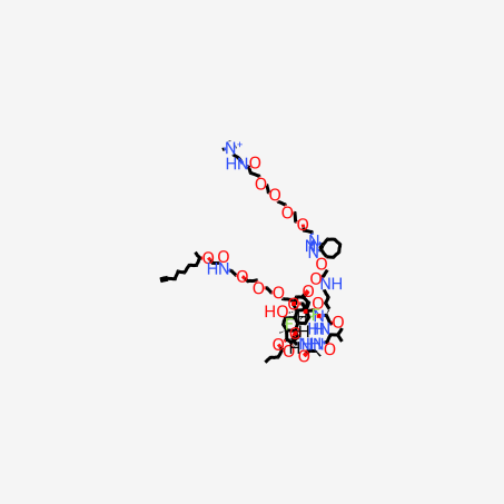 C#CCCCCCC(C)OCC(=O)NCCOCCOCCOCCOCCC(=O)N[C@H](CCCCNC(=O)COC1CCCCCc2c1nnn2CCOCCOCCOCCOCCC(=O)NCC[N+](C)(C)C)C(=O)N[C@H](C(=O)N[C@@H](C)C(=O)NCC(=O)[C@@]12OC(CCC)O[C@@H]1C[C@H]1[C@@H]3C[C@H](F)C4=CC(=O)C=C[C@]4(C)[C@@]3(F)[C@@H](O)C[C@@]12C)C(C)C